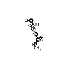 Cn1cc(-c2cc(-c3ccc(N4CCN(C(=O)C(O)c5cccc(Cl)c5)CC4)nc3)c3ccnn3c2)cn1